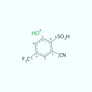 Cl.N#Cc1cc(C(F)(F)F)ccc1S(=O)(=O)O